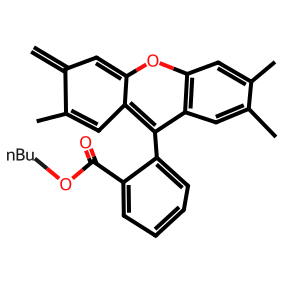 C=c1cc2c(cc1C)=C(c1ccccc1C(=O)OCCCC)c1cc(C)c(C)cc1O2